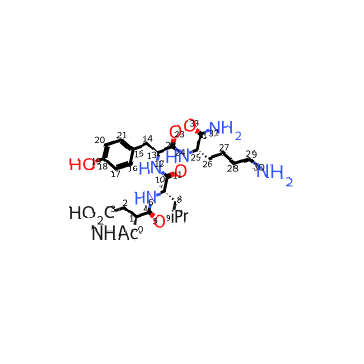 CC(=O)N[C@@H](CC(=O)O)C(=O)N[C@@H](CC(C)C)C(=O)N[C@@H](Cc1ccc(O)cc1)C(=O)N[C@@H](CCCCN)C(N)=O